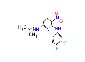 CC(C)CNc1ccc([N+](=O)[O-])c(Nc2ccc(F)c(F)c2)n1